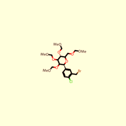 COCOCC1O[C@@H](c2ccc(Cl)c(CBr)c2)C(OCOC)C(OCOC)[C@@H]1OCOC